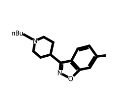 CCCCN1CCC(c2noc3cc(C)ccc23)CC1